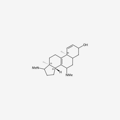 CNC1CC2CC(O)C=C[C@]2(C)C2=C1[C@@H]1CCC(NC)[C@@]1(C)CC2